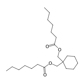 CCCCCCC(=O)OCC1(COC(=O)CCCCCC)CCCCC1